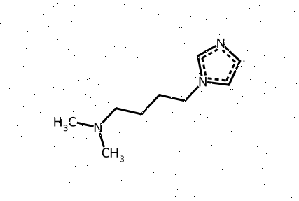 CN(C)CCCCn1c[c]nc1